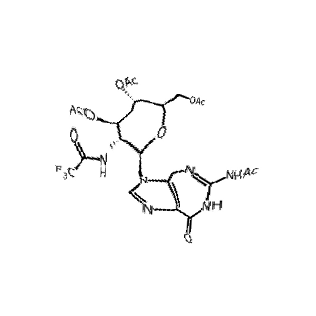 CC(=O)Nc1nc2c(ncn2[C@@H]2O[C@H](COC(C)=O)[C@@H](OC(C)=O)[C@H](OC(C)=O)[C@H]2NC(=O)C(F)(F)F)c(=O)[nH]1